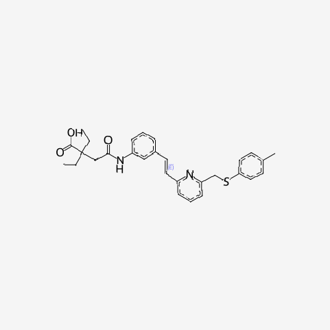 CCC(CC)(CC(=O)Nc1cccc(/C=C/c2cccc(CSc3ccc(C)cc3)n2)c1)C(=O)O